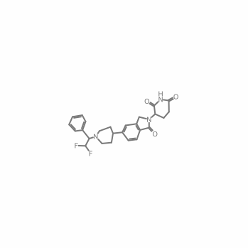 O=C1CCC(N2Cc3cc(C4CCN(C(c5ccccc5)C(F)F)CC4)ccc3C2=O)C(=O)N1